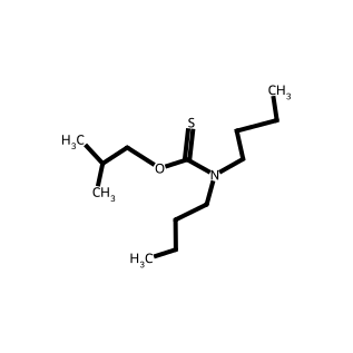 CCCCN(CCCC)C(=S)OCC(C)C